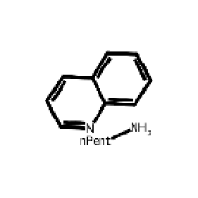 CCCCCN.c1ccc2ncccc2c1